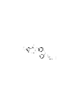 CNCC[C@H](Oc1ccc(CN2CCCn3nc(OC)cc3C2=O)c(F)c1)c1ccccc1